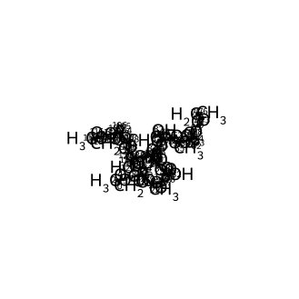 C=C(C)C(=O)OCCOC(=O)c1ccccc1C(=O)OCC(C)OC(=O)c1ccc(C(=O)O)c(C(=O)OCCn2c(=O)n(CCOC(=O)c3cc(C(=O)OC(C)COC(=O)c4ccccc4C(=O)OCCOC(=O)C(=C)C)ccc3C(=O)O)c(=O)n(CCOC(=O)c3cc(C(=O)OC(C)COC(=O)c4ccccc4C(=O)OCCOC(=O)C(=C)C)ccc3C(=O)O)c2=O)c1